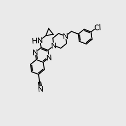 N#Cc1ccc2nc(NC3CC3)c(N3CCN(Cc4cccc(Cl)c4)CC3)nc2c1